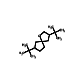 CC(C)(C)C1COC2(CCN(C(C)(C)C)C2)C1